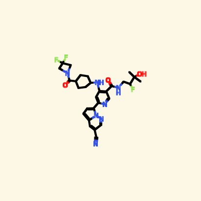 CC(C)(O)C(F)CNC(=O)c1cnc(-c2ccc3cc(C#N)cnn23)cc1NC1CCC(C(=O)N2CC(F)(F)C2)CC1